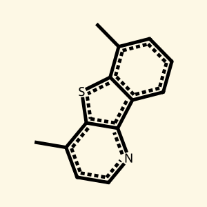 Cc1cccc2c1sc1c(C)ccnc12